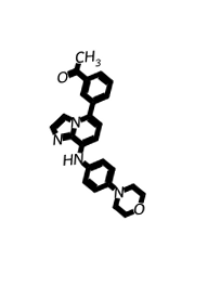 CC(=O)c1cccc(-c2ccc(Nc3ccc(N4CCOCC4)cc3)c3nccn23)c1